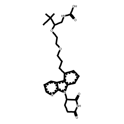 CC(C)(C)C(CNC(=O)O)OCCOCCCc1cccc2c1c1cccnc1n2C1CCC(=O)NC1=O